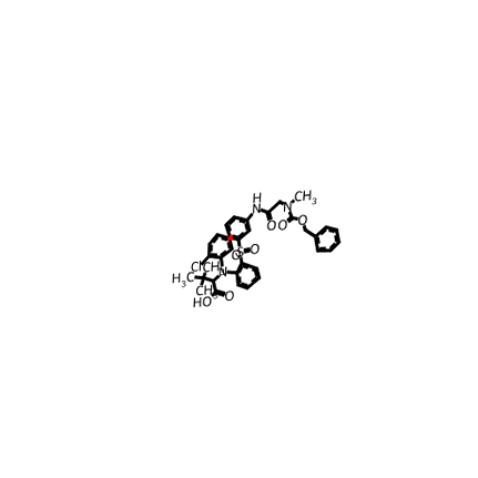 CN(CC(=O)Nc1cccc(S(=O)(=O)c2ccccc2N(c2ccccc2Cl)C(C(=O)O)C(C)(C)C)c1)C(=O)OCc1ccccc1